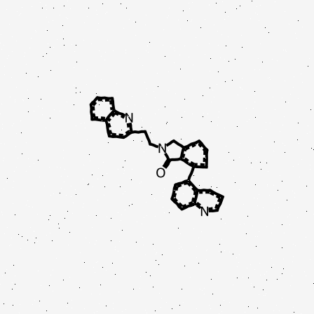 O=C1c2c(cccc2-c2cccc3ncccc23)CN1CCc1ccc2ccccc2n1